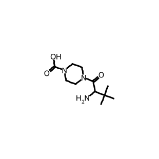 CC(C)(C)C(N)C(=O)N1CCN(C(=O)O)CC1